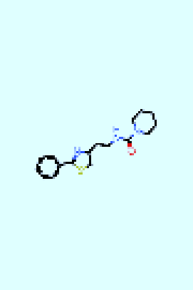 O=C(NCCC1CSC(c2ccccc2)=N1)N1CCCCC1